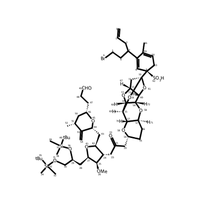 C=CCC(CCBr)C1=C[C@]([C@]23C[C@H]4O[C@H]5[C@@H](O2)[C@H]2O[C@@H](CC(=O)C[C@@H]6[C@@H](OC)[C@@H](C[C@@H](CO[Si](C)(C)C(C)(C)C)O[Si](C)(C)C(C)(C)C)O[C@H]6C[C@H]6O[C@@H](CCC=O)C[C@@H](C)C6=C)CC[C@@H]2O[C@H]5[C@H]4O3)(S(=O)(=O)O)CC=C1C